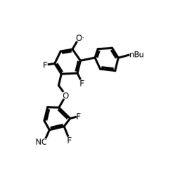 CCCCc1ccc(-c2c([O])cc(F)c(COc3ccc(C#N)c(F)c3F)c2F)cc1